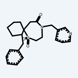 O=C1CC2(CCCCC2Cc2ccccc2)S(=O)(=O)CCN1Cc1cccnc1